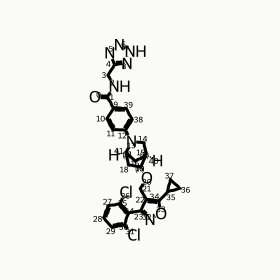 O=C(NCc1nn[nH]n1)c1ccc(N2C[C@@H]3C[C@H]2C[C@H]3OCc2c(-c3c(Cl)cccc3Cl)noc2C2CC2)cc1